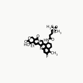 CC[C@@]1(O)C(=O)OCc2c1cc1n(c2=O)Cc2c-1nc1cc(F)c(C)c3c1c2[C@@H](NC(=O)CCC[SH](C)(C)=O)CC3